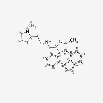 CC1CC(CNCCC2CCCN2C)CN1c1ncnc2scc(-c3ccccc3)c12